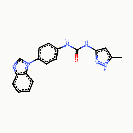 Cc1cc(NC(=O)Nc2ccc(-n3cnc4ccccc43)cc2)n[nH]1